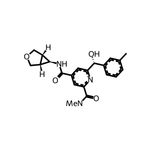 CNC(=O)c1cc(C(=O)N[C@H]2[C@@H]3COC[C@@H]32)cc([C@H](O)c2cccc(C)c2)n1